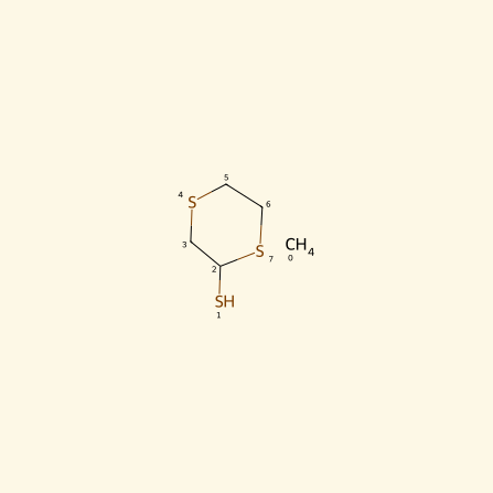 C.SC1CSCCS1